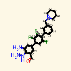 NNc1c(N)cc(-c2cc(F)c(-c3cccc(CN4CCCCC4)c3)c(F)c2F)cc1C=O